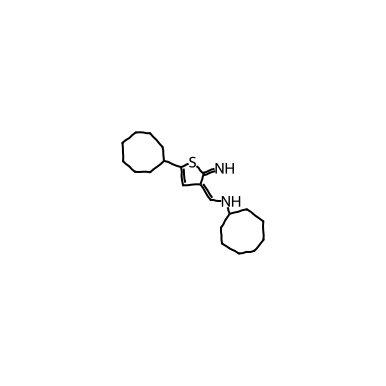 N=C1SC(C2CCCCCCC2)=C/C1=C/NC1CCCCCCC1